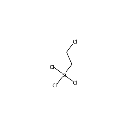 ClCC[Si](Cl)(Cl)Cl